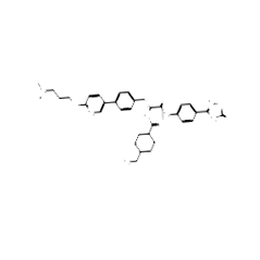 CN(C)CCCOc1ccc(-c2ccc(C[C@H](NC(=O)C3CCC(CN)CC3)C(=O)Nc3ccc(-c4noc(=O)[nH]4)cc3)cc2)cn1